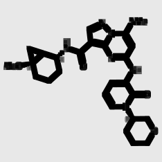 CNc1cc(Nc2cccn([C@@H]3CCCOC3)c2=O)nc2c(C(=O)N[C@@H]3CCC[C@]4(OC)CC34)cnn12